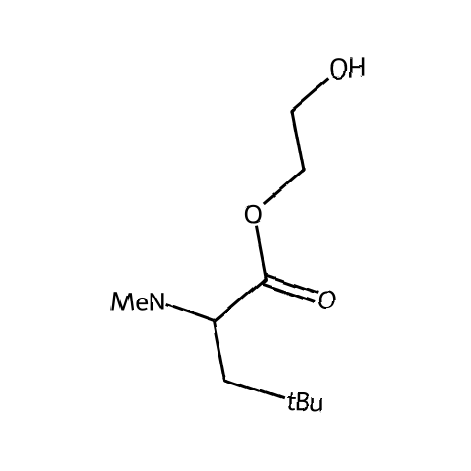 CNC(CC(C)(C)C)C(=O)OCCO